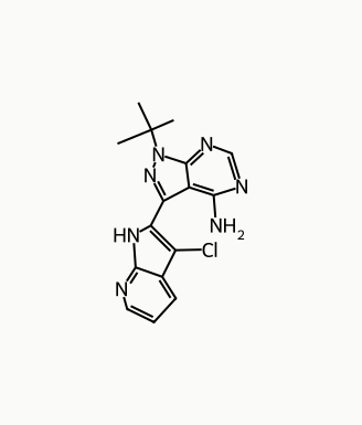 CC(C)(C)n1nc(-c2[nH]c3ncccc3c2Cl)c2c(N)ncnc21